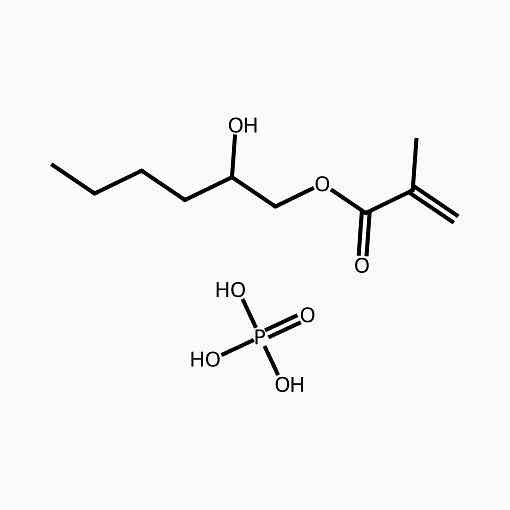 C=C(C)C(=O)OCC(O)CCCC.O=P(O)(O)O